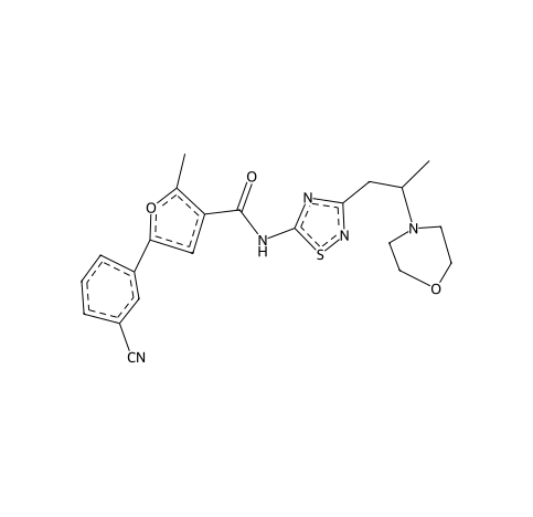 Cc1oc(-c2cccc(C#N)c2)cc1C(=O)Nc1nc(CC(C)N2CCOCC2)ns1